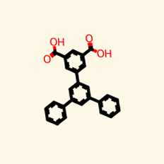 O=C(O)c1cc(C(=O)O)cc(-c2cc(-c3ccccc3)cc(-c3ccccc3)c2)c1